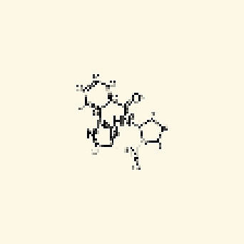 O=C(N[C@@H]1CCC[C@@H]1N=S)c1ccccc1-n1nccn1